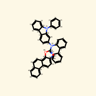 c1ccc(-c2ccccc2N(c2ccc3c4ccccc4n(-c4ccccc4)c3c2)c2nc3ccc4c5ccccc5ccc4c3o2)cc1